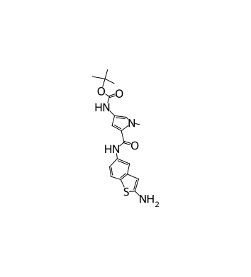 Cn1cc(NC(=O)OC(C)(C)C)cc1C(=O)Nc1ccc2sc(N)cc2c1